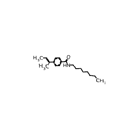 C/C=C(\C)c1ccc(C(=O)NCCCCCCCC)cc1